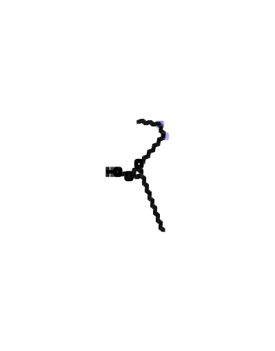 CCCCC/C=C\C/C=C\CCCCCCCCOc1cc(CCCCCCCCCCCCCCC)cc(OCCO)c1